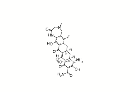 CN1CC(=O)Nc2c(O)c3c(c(F)c2C1)C[C@H]1C[C@H]2[C@H](N)C(O)=C(C(N)=O)C(=O)[C@@]2(O)C(O)=C1C3=O